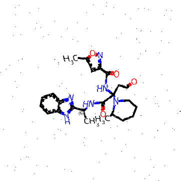 Cc1cc(C(=O)NC(CC=O)(C(=O)N[C@@H](C)c2nc3ccccc3[nH]2)N2CCCCC2C)no1